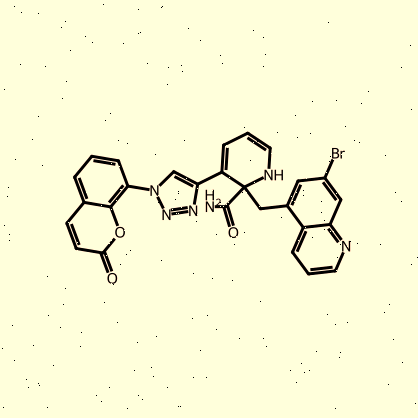 NC(=O)C1(Cc2cc(Br)cc3ncccc23)NC=CC=C1c1cn(-c2cccc3ccc(=O)oc23)nn1